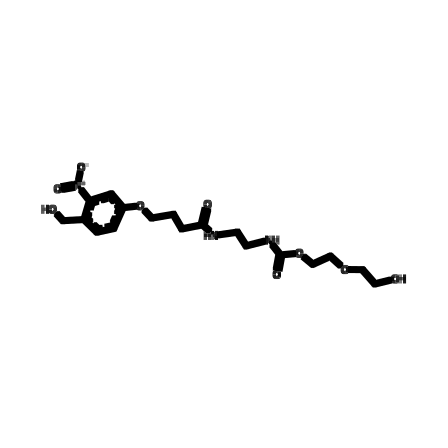 O=C(CCCOc1ccc(CO)c([N+](=O)[O-])c1)NCCNC(=O)OCCOCCO